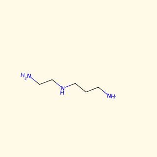 [NH]CCCNCCN